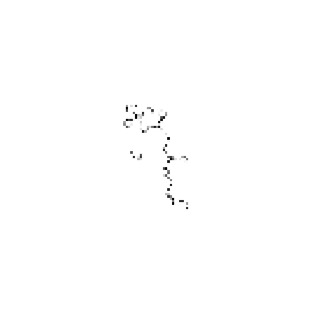 C=CCOC(=O)CCC(=O)OS(=O)(=O)[O-].[Na+]